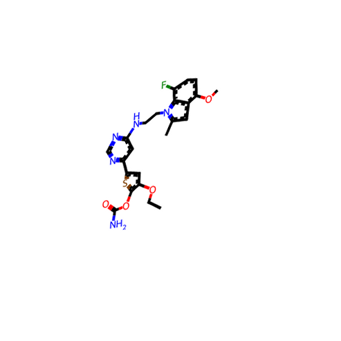 CCOc1cc(-c2cc(NCCn3c(C)cc4c(OC)ccc(F)c43)ncn2)sc1OC(N)=O